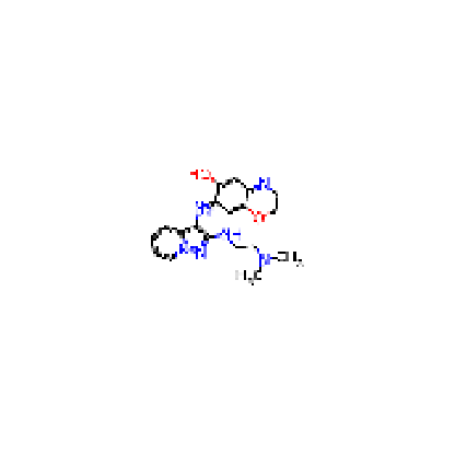 CN(C)CCNc1nn2ccccc2c1/N=C1\C=C2OCCN=C2C=C1O